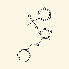 CS(=O)(=O)c1ccccc1-c1nnc(SCc2ccccc2)o1